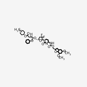 COc1cc(OC)c2oc(COC(=O)Nc3ccn([C@@H]4O[C@H](COP(NCC(=O)OC5CCN(C)CC5)Oc5ccccc5)CC4(F)F)c(=O)n3)cc2c1